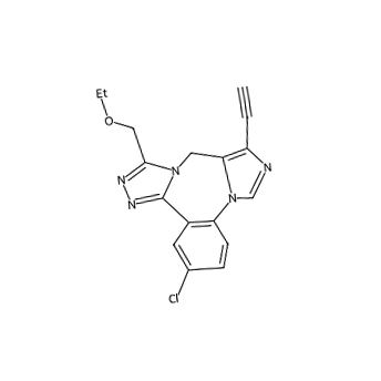 C#Cc1ncn2c1Cn1c(COCC)nnc1-c1cc(Cl)ccc1-2